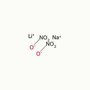 O=[N+]([O-])[O-].O=[N+]([O-])[O-].[Li+].[Na+]